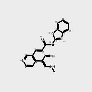 CN/C=C(\C=N)c1ccncc1/C=C/C(=O)Nc1nc2ccccc2o1